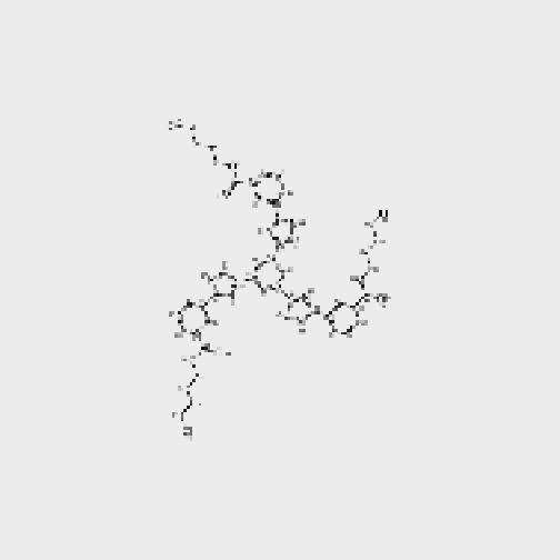 O=C(OCCCCCl)c1cccc(-c2noc(-c3cc(-c4nc(-c5cccc(C(=O)OCCCCCl)c5)no4)cc(-c4nc(-c5cccc(C(O)OCCCCCl)c5)no4)c3)n2)c1